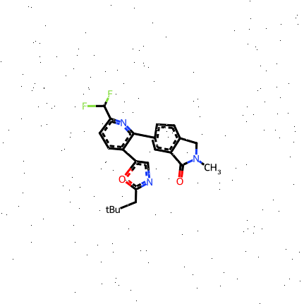 CN1Cc2ccc(-c3nc(C(F)F)ccc3-c3cnc(CC(C)(C)C)o3)cc2C1=O